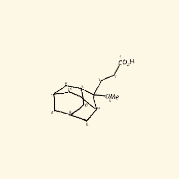 COC1(CCC(=O)O)C2CC3CC(C2)CC1C3